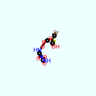 O=C1CCC(N2Cc3cc(NCCOCCOc4ccc(Oc5c(-c6ccc(Br)cc6)sc6cc(O)ccc56)cc4)ccc3C2=O)C(=O)N1